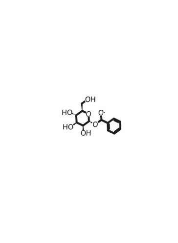 [O]C(O[C@H]1O[C@H](CO)[C@@H](O)[C@H](O)[C@@H]1O)c1ccccc1